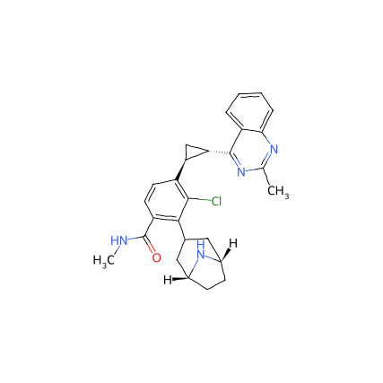 CNC(=O)c1ccc([C@H]2C[C@@H]2c2nc(C)nc3ccccc23)c(Cl)c1C1C[C@H]2CC[C@@H](C1)N2